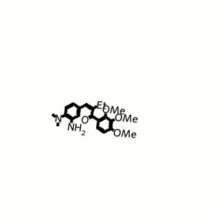 CCC(=Cc1ccc(N(C)C)c(N)c1)C(=O)c1ccc(OC)c(OC)c1OC